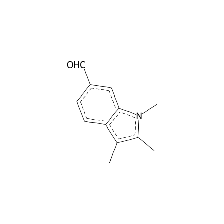 Cc1c(C)n(C)c2cc(C=O)ccc12